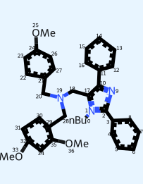 CCCCn1c(-c2ccccc2)nc(-c2ccccc2)c1CN(Cc1ccc(OC)cc1)Cc1ccc(OC)cc1OC